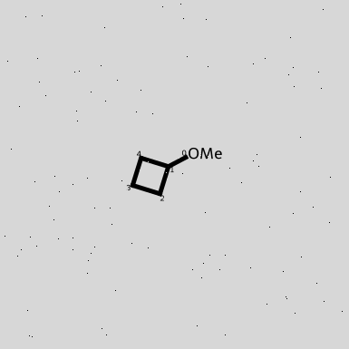 COC1CCC1